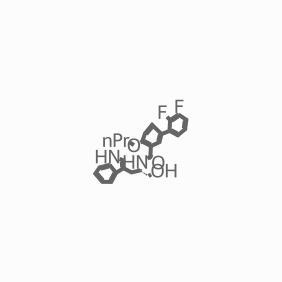 CCCOc1ccc(-c2cccc(F)c2F)cc1C(=O)N[C@H](CO)Cc1c[nH]c2ccccc12